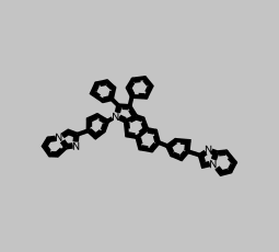 c1ccc(-c2c(-c3ccccc3)n(-c3ccc(-c4cn5ccccc5n4)cc3)c3cc4ccc(-c5ccc(-c6cn7ccccc7n6)cc5)cc4cc23)cc1